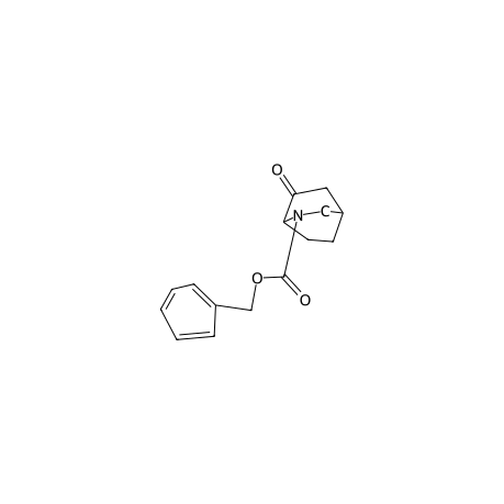 O=C1CC2CCC1N(C(=O)OCc1ccccc1)C2